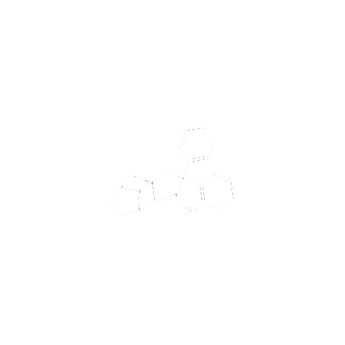 CN1C2CCC1CC(CC(C(N)=O)(c1ccccc1)c1ccccc1)C2